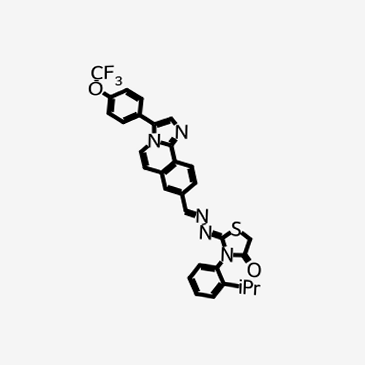 CC(C)c1ccccc1N1C(=O)CS/C1=N\N=C\c1ccc2c(ccn3c(-c4ccc(OC(F)(F)F)cc4)cnc23)c1